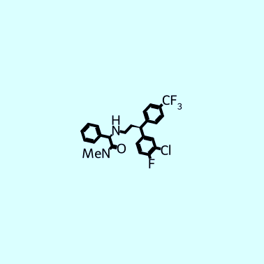 CNC(=O)[C@H](NCC[C@@H](c1ccc(C(F)(F)F)cc1)c1ccc(F)c(Cl)c1)c1ccccc1